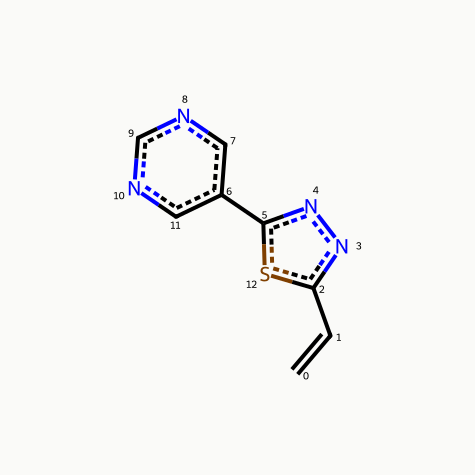 C=Cc1nnc(-c2cncnc2)s1